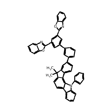 CC1(C)c2cc(-c3cccc(-c4cc(-c5nc6ccccc6o5)cc(-c5nc6ccccc6o5)c4)c3)ccc2-c2c1ccc1c3ccccc3n(-c3ccccc3)c21